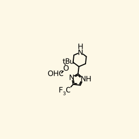 CC(C)(C)OC=O.FC(F)(F)c1c[nH]c(C2CCNCC2)n1